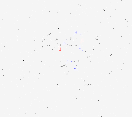 COCCCn1c([C@@H]2CCCN(C(=O)[C@@H]3CN(C(=O)c4cccc5ccccc45)C[C@H]3N)C2)nc2ccccc21